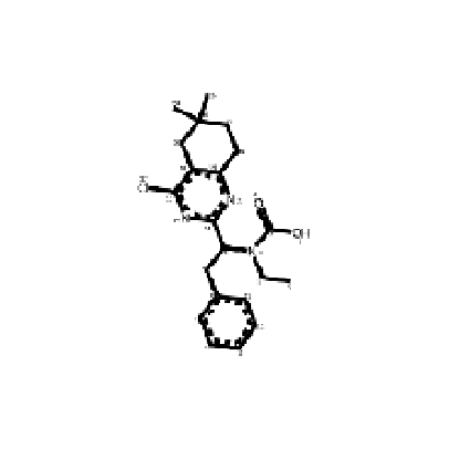 CCN(C(=O)O)C(Cc1ccccc1)c1nc(Cl)c2c(n1)CCC(C)(C)C2